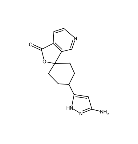 Nc1cc(C2CCC3(CC2)OC(=O)c2ccncc23)[nH]n1